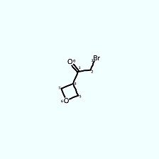 O=C(CBr)C1COC1